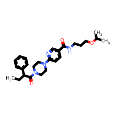 CCC(C(=O)N1CCN(c2ccc(C(=O)NCCCOC(C)C)cn2)CC1)c1ccccc1